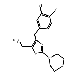 O=C(O)Cc1sc(N2CCOCC2)nc1Cc1ccc(Cl)c(Cl)c1